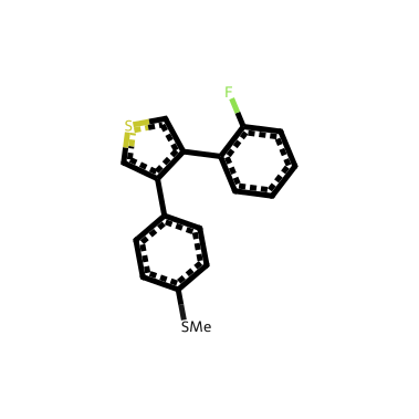 CSc1ccc(-c2cscc2-c2ccccc2F)cc1